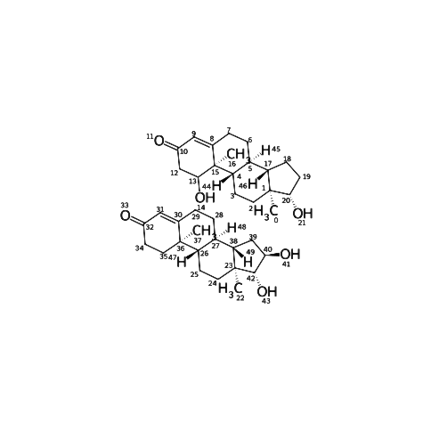 C[C@]12CC[C@H]3[C@@H](CCC4=CC(=O)CC(O)[C@@]43C)[C@@H]1CC[C@@H]2O.C[C@]12CC[C@H]3[C@@H](CCC4=CC(=O)CC[C@@]43C)[C@@H]1C[C@@H](O)[C@@H]2O